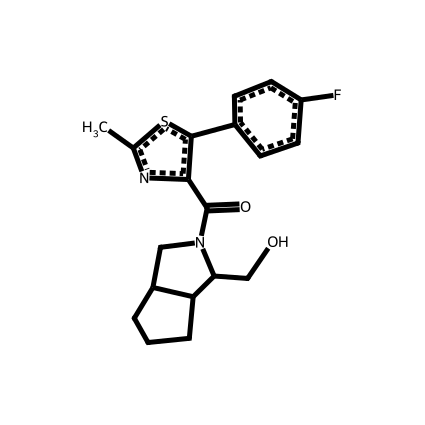 Cc1nc(C(=O)N2CC3CCCC3C2CO)c(-c2ccc(F)cc2)s1